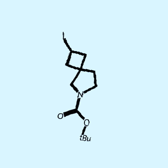 CC(C)(C)OC(=O)N1CCC2(CC(I)C2)C1